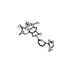 CCN(CC)c1cc2c(c(CN(C)C(=O)OC(C)(C)C)n1)CN(c1cccc(-c3nncn3C(C)C)n1)C2=O